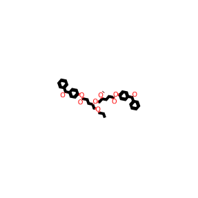 CCCOCC(CCC(=O)Oc1ccc(C(=O)c2ccccc2)cc1)OCC(CCC(=O)Oc1ccc(C(=O)c2ccccc2)cc1)OC